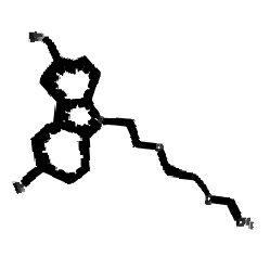 CCOCCOCCn1c2ccc(Br)cc2c2cc(Br)ccc21